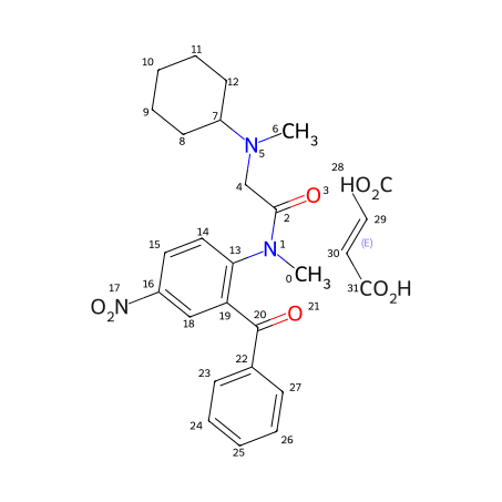 CN(C(=O)CN(C)C1CCCCC1)c1ccc([N+](=O)[O-])cc1C(=O)c1ccccc1.O=C(O)/C=C/C(=O)O